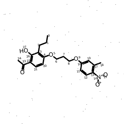 CCCc1c(OCCCOc2ccc([N+](=O)[O-])c(C)c2)ccc(C(C)=O)c1O